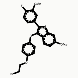 COc1ccc2c(Oc3ccc(OCCBr)cc3)c(-c3ccc(F)c(OC)c3)sc2c1